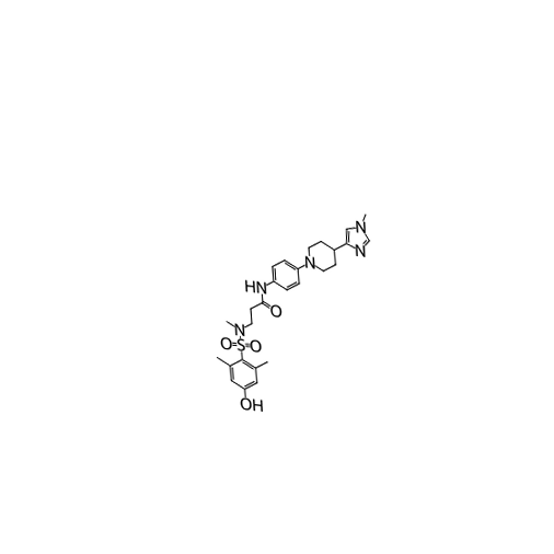 Cc1cc(O)cc(C)c1S(=O)(=O)N(C)CCC(=O)Nc1ccc(N2CCC(c3cn(C)cn3)CC2)cc1